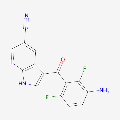 N#CC1=Cc2c(C(=O)c3c(F)ccc(N)c3F)c[nH]c2I=C1